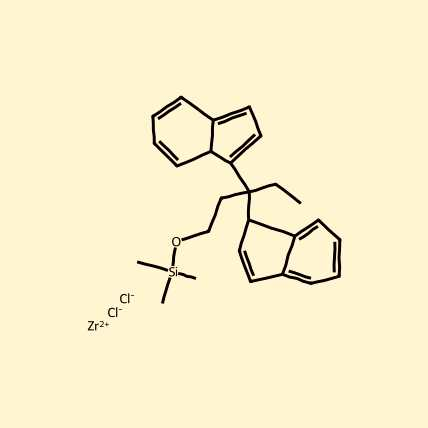 CCC(CCO[Si](C)(C)C)(C1=CC=C2C=CC=CC21)C1C=Cc2ccccc21.[Cl-].[Cl-].[Zr+2]